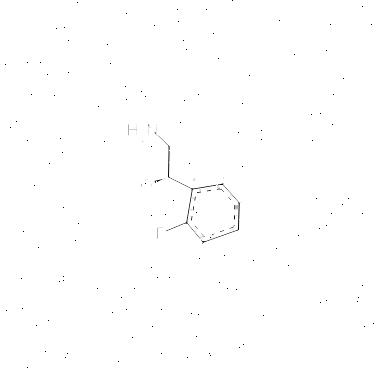 NC[C@H](O)c1ccccc1F